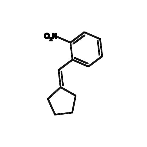 O=[N+]([O-])c1ccccc1C=C1CCCC1